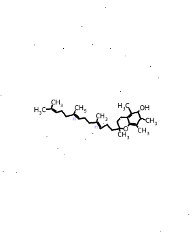 CC(C)=CCC/C(C)=C/CC/C(C)=C/CCC1(C)CCC2=C(C)C(O)C(C)C(C)=C2O1